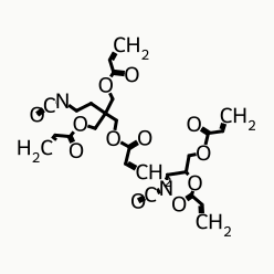 C=CC(=O)OCC(CCN=C=O)(COC(=O)C=C)COC(=O)C=C.C=CC(=O)OCC(CN=C=O)OC(=O)C=C